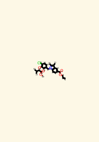 C=CCOC(=O)c1ccc2c(c1)c(C)c(C)n2Cc1ccc(Cl)c(O[C@H](C(=O)OC)C(C)C)c1